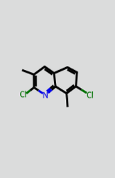 Cc1cc2ccc(Cl)c(C)c2nc1Cl